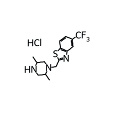 CC1CN(Cc2nc3cc(C(F)(F)F)ccc3s2)C(C)CN1.Cl